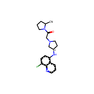 N#CC1CCCN1C(=O)CN1CC[C@@H](Nc2ccc(F)c3ncccc23)C1